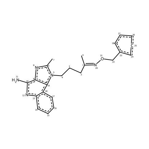 C/C(CCCn1c(C)nc2c(N)nc3ccccc3c21)=N\OCc1ccccc1